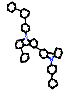 c1ccc(-c2ccc(-n3c4ccccc4c4cc(-c5ccc6c(c5)c5c(-c7ccccc7)cccc5n6-c5ccc(-c6cccc(-c7ccccc7)c6)cc5)ccc43)cc2)cc1